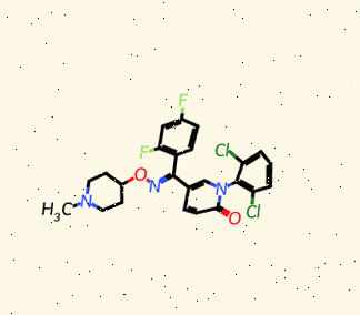 CN1CCC(ON=C(c2ccc(=O)n(-c3c(Cl)cccc3Cl)c2)c2ccc(F)cc2F)CC1